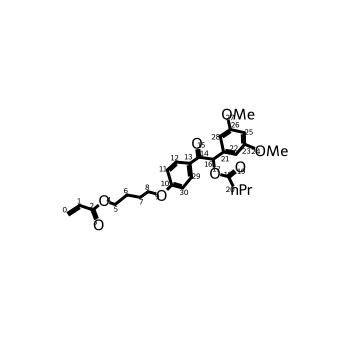 C=CC(=O)OCCCCOc1ccc(C(=O)C(OC(=O)CCC)c2cc(OC)cc(OC)c2)cc1